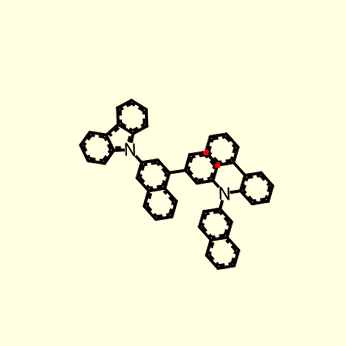 c1ccc(-c2ccccc2N(c2cccc(-c3cc(-n4c5ccccc5c5ccccc54)cc4ccccc34)c2)c2ccc3ccccc3c2)cc1